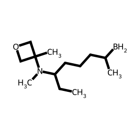 BC(C)CCCC(CC)N(C)C1(C)COC1